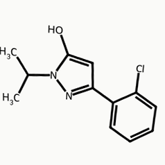 CC(C)n1nc(-c2ccccc2Cl)cc1O